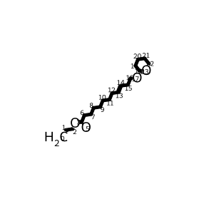 C=CCOC(=O)CCCCCCCC=CCCOC1CCCCO1